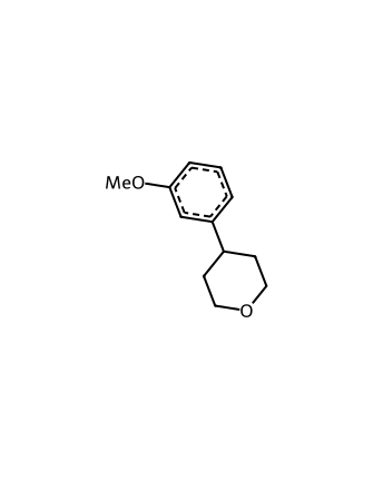 COc1cccc(C2CCOCC2)c1